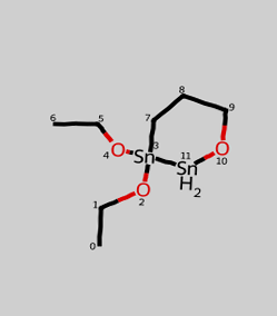 CC[O][Sn]1([O]CC)[CH2]CC[O][SnH2]1